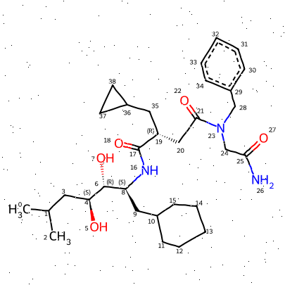 CC(C)C[C@H](O)[C@H](O)[C@H](CC1CCCCC1)NC(=O)[C@@H](CC(=O)N(CC(N)=O)Cc1ccccc1)CC1CC1